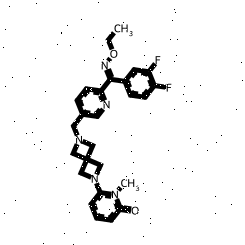 CCON=C(c1ccc(F)c(F)c1)c1ccc(CN2CC3(C2)CN(c2cccc(=O)n2C)C3)cn1